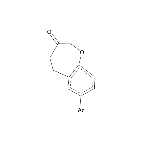 CC(=O)c1ccc2c(c1)CCC(=O)CO2